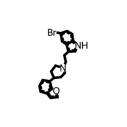 Brc1ccc2[nH]cc(CCN3CCC(c4cccc5ccoc45)CC3)c2c1